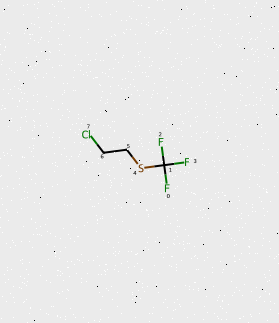 FC(F)(F)SCCCl